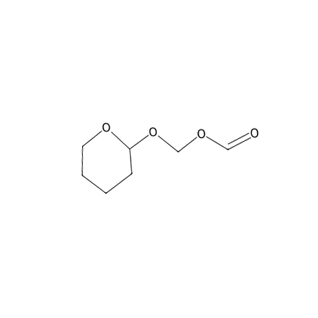 O=COCOC1CCCCO1